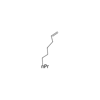 C=CCCCCC[CH]C